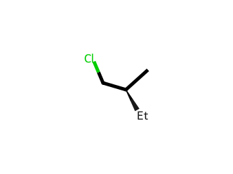 CC[C@H](C)CCl